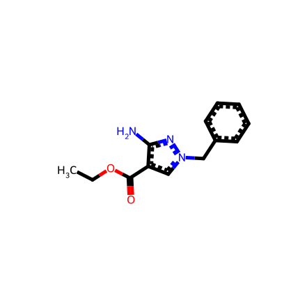 CCOC(=O)c1cn(Cc2ccccc2)nc1N